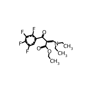 CCOC(=O)C(=CN(CC)CC)C(=O)c1cc(F)c(F)c(F)c1F